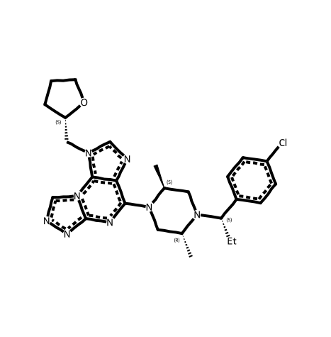 CC[C@@H](c1ccc(Cl)cc1)N1C[C@H](C)N(c2nc3nncn3c3c2ncn3C[C@@H]2CCCO2)C[C@H]1C